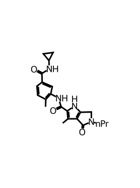 CCCN1Cc2[nH]c(C(=O)Nc3cc(C(=O)NC4CC4)ccc3C)c(C)c2C1=O